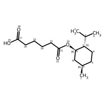 CC(C)[C@@H]1CC[C@@H](C)C[C@H]1OC(=O)CCCCC(=O)O